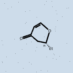 CC[C@@H]1CC(=O)C=CO1